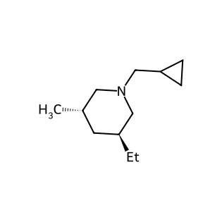 CC[C@H]1C[C@H](C)CN(CC2CC2)C1